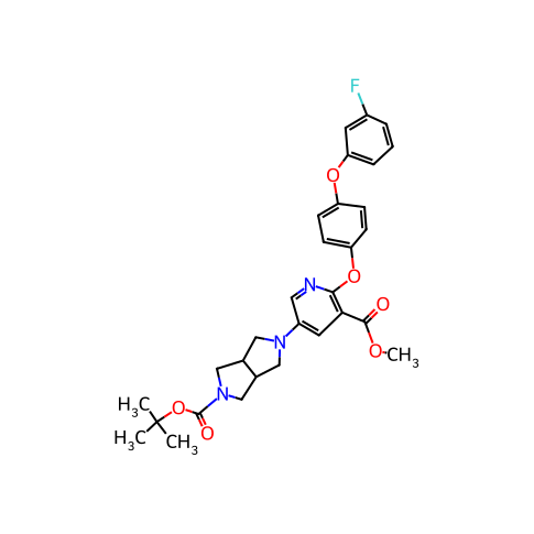 COC(=O)c1cc(N2CC3CN(C(=O)OC(C)(C)C)CC3C2)cnc1Oc1ccc(Oc2cccc(F)c2)cc1